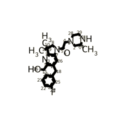 C[C@@H]1CN(CC(=O)N2CC(C)(C)c3nc(CO)c(Cc4cccc(F)c4)cc32)CCN1